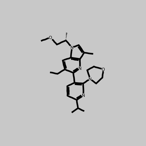 CCc1cc2c(nc1-c1ccc(C(C)C)nc1N1CCOCC1)c(C)cn2[C@@H](C)COC